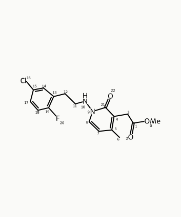 COC(=O)Cc1c(C)ccn(NCCc2cc(Cl)ccc2F)c1=O